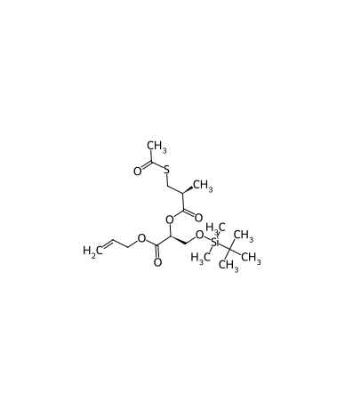 C=CCOC(=O)[C@H](CO[Si](C)(C)C(C)(C)C)OC(=O)[C@H](C)CSC(C)=O